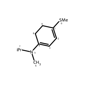 CSC1=CC=C(N(C)C(C)C)CC1